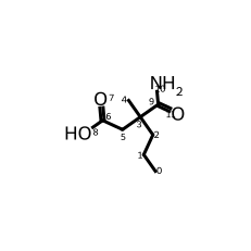 CCCC(C)(CC(=O)O)C(N)=O